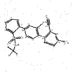 CC(C)(C)NS(=O)(=O)c1ccccc1-c1ccc(-c2ccc(N)nc2C#N)c(F)c1